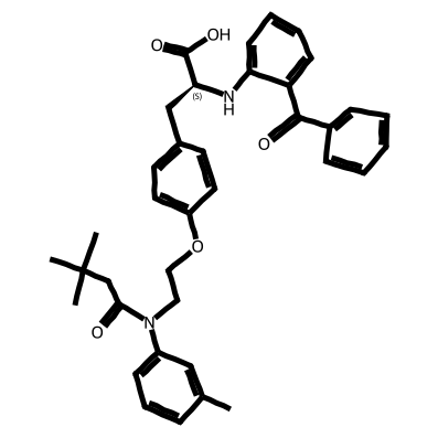 Cc1cccc(N(CCOc2ccc(C[C@H](Nc3ccccc3C(=O)c3ccccc3)C(=O)O)cc2)C(=O)CC(C)(C)C)c1